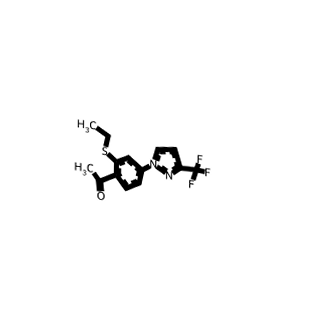 CCSc1cc(-n2ccc(C(F)(F)F)n2)ccc1C(C)=O